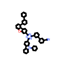 N#Cc1cccc(-c2cccc(-c3nc(-c4ccc5c(c4)oc4cccc(-c6cccc(-c7ccccc7)c6)c45)nc(-c4ccc5c6ccccc6n(-c6ccccc6)c5c4)n3)c2)c1